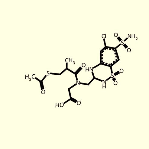 CC(=O)SCC(C)C(=O)N(CC(=O)O)CC1Nc2cc(Cl)c(S(N)(=O)=O)cc2S(=O)(=O)N1